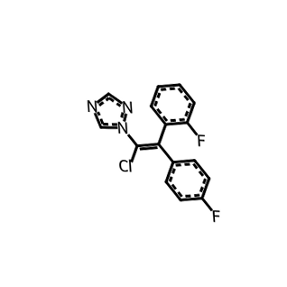 Fc1ccc(C(=C(Cl)n2cncn2)c2ccccc2F)cc1